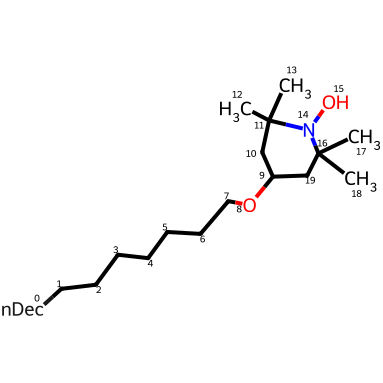 CCCCCCCCCCCCCCCCCOC1CC(C)(C)N(O)C(C)(C)C1